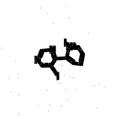 Ic1cncnc1-c1cccc[n+]1I